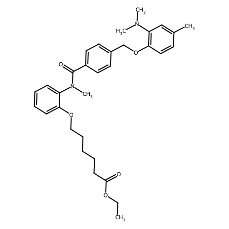 CCOC(=O)CCCCCOc1ccccc1N(C)C(=O)c1ccc(COc2ccc(C)cc2N(C)C)cc1